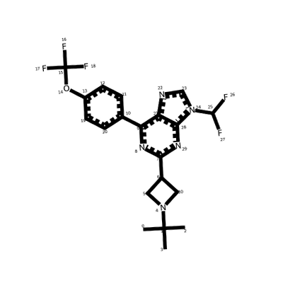 CC(C)(C)N1CC(c2nc(-c3ccc(OC(F)(F)F)cc3)c3ncn(C(F)F)c3n2)C1